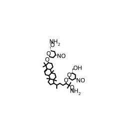 CC(CCC(O[C@H]1C[C@@H](N=O)C[C@@H](CO)O1)C(C)(C)ON)C1CCC2(C)C3CC=C4C(CC[C@H](O[C@H]5C[C@@H](N=O)C[C@@H](CON)O5)C4(C)C)C3(C)CCC12C